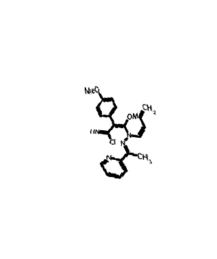 C=C/C=C\N(/N=C(\C)c1ccccn1)/C(OC)=C(\C(=N)Cl)c1ccc(OC)cc1